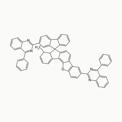 CC1C=CC=C2c3c(ccc4c3oc3ccc(-c5nc(-c6ccccc6)c6ccccc6n5)cc34)C3(c4ccccc4-c4ccc(-c5nc(-c6ccccc6)c6ccccc6n5)cc43)C21